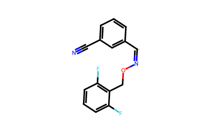 N#Cc1cccc(/[C]=N\OCc2c(F)cccc2F)c1